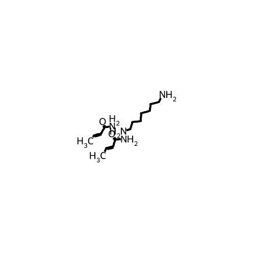 CC=CC(N)=O.CC=CC(N)=O.NCCCCCCCN